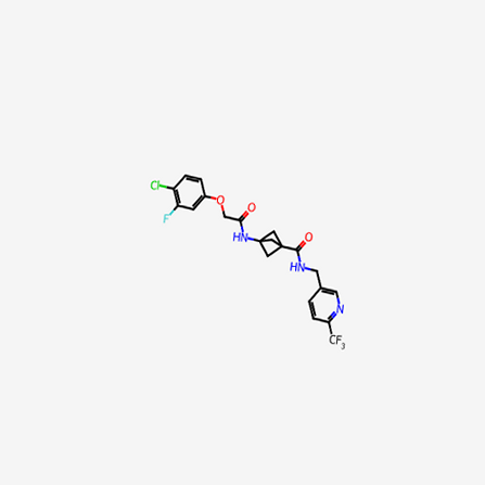 O=C(COc1ccc(Cl)c(F)c1)NC12CC(C(=O)NCc3ccc(C(F)(F)F)nc3)(C1)C2